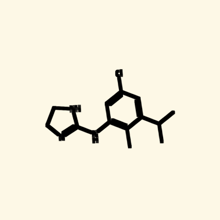 Cc1c(NC2=NCCN2)cc(Cl)cc1C(C)C